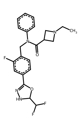 CCN1CC(C(=O)N(Cc2ccc(C3=NNC(C(F)F)O3)cc2F)c2ccccc2)C1